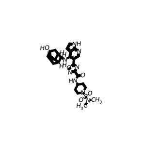 CN(C)S(=O)(=O)N1CCC(NC(=O)c2noc(-c3cnc4[nH]ccc4c3N[C@H]3[C@@H]4CC5C[C@H]3C[C@@](O)(C5)C4)n2)CC1